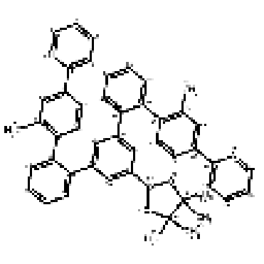 Cc1cc(-c2ccccn2)ccc1-c1ccccc1-c1cc(B2OC(C)(C)C(C)(C)O2)cc(-c2ccccc2-c2ccc(-c3ccccn3)cc2C)c1